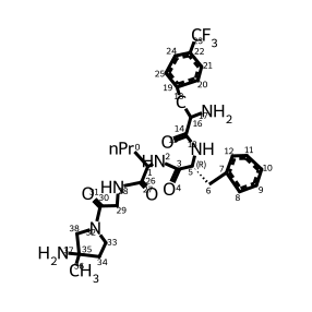 CCCC(NC(=O)[C@@H](Cc1ccccc1)NC(=O)C(N)Cc1ccc(C(F)(F)F)cc1)C(=O)NCC(=O)N1CCC(C)(N)C1